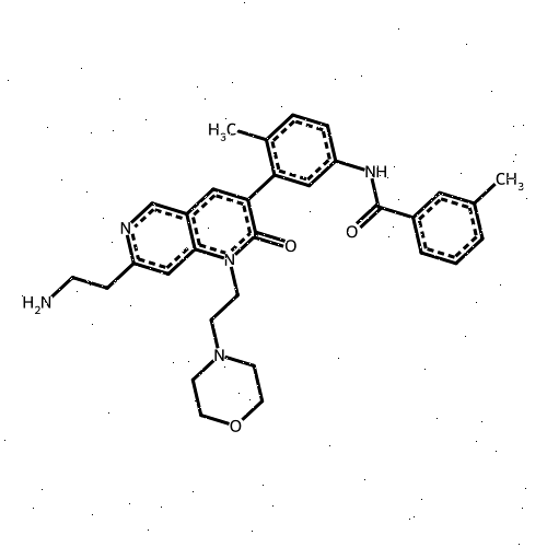 Cc1cccc(C(=O)Nc2ccc(C)c(-c3cc4cnc(CCN)cc4n(CCN4CCOCC4)c3=O)c2)c1